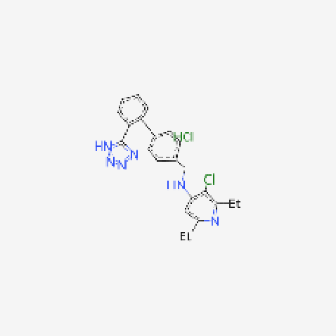 CCc1cc(NCc2ccc(-c3ccccc3-c3nnn[nH]3)cc2)c(Cl)c(CC)n1.Cl